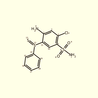 Nc1cc(Cl)c(S(N)(=O)=O)cc1S(=S)c1ccccc1